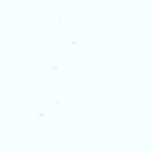 O=C1NCC[C@H]1C[C@H](NC(=O)[C@@H]1[C@H]2CCC[C@H]2CN1C(=O)CC12CC3CC(CC1C3)C2)C(=O)c1nc2ccccc2o1